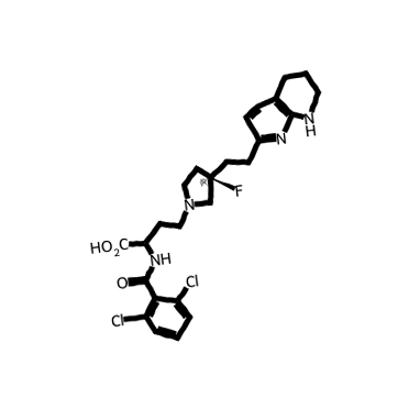 O=C(NC(CCN1CC[C@](F)(CCc2ccc3c(n2)NCCC3)C1)C(=O)O)c1c(Cl)cccc1Cl